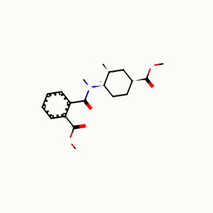 COC(=O)c1ccccc1C(=O)N(C)[C@@H]1CC[C@H](C(=O)OC)C[C@@H]1C